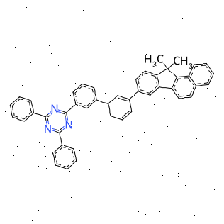 CC1(C)c2ccc(C3=CC(c4cccc(-c5nc(-c6ccccc6)nc(-c6ccccc6)n5)c4)CC=C3)cc2-c2ccc3ccccc3c21